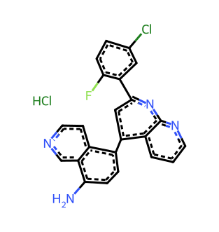 Cl.Nc1ccc(-c2cc(-c3cc(Cl)ccc3F)nc3ncccc23)c2ccncc12